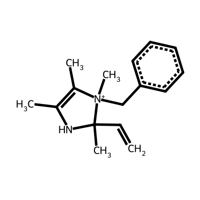 C=CC1(C)NC(C)=C(C)[N+]1(C)Cc1ccccc1